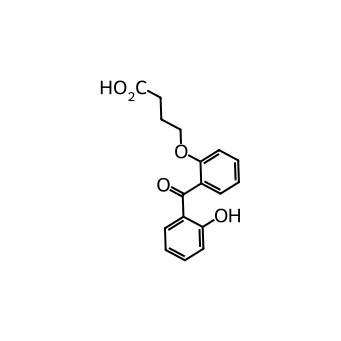 O=C(O)CCCOc1ccccc1C(=O)c1ccccc1O